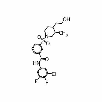 CC1CN(S(=O)(=O)c2cccc(C(=O)Nc3cc(F)c(F)c(Cl)c3)c2)CCC1CCO